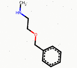 [CH2]NCCOCc1ccccc1